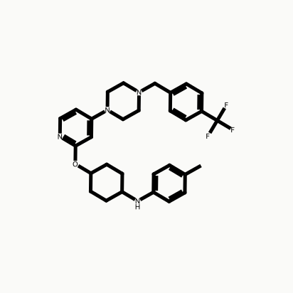 Cc1ccc(NC2CCC(Oc3cc(N4CCN(Cc5ccc(C(F)(F)F)cc5)CC4)ccn3)CC2)cc1